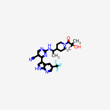 CC(Nc1ncc(C#N)c(-c2c[nH]c3ncc(C(F)(F)F)cc23)n1)C1CCN(C(=O)C(C)(C)O)CC1